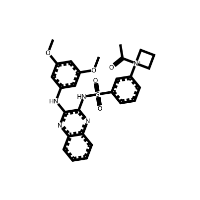 COc1cc(Nc2nc3ccccc3nc2NS(=O)(=O)c2cccc([N+]3(C(C)=O)CCC3)c2)cc(OC)c1